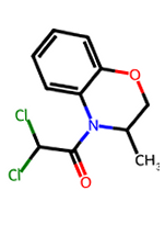 CC1COc2ccccc2N1C(=O)C(Cl)Cl